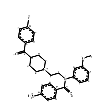 COc1cccc(N(CCN2CCC(C(=O)c3ccc(F)cc3)CC2)C(=O)c2ccc(N)cc2)c1